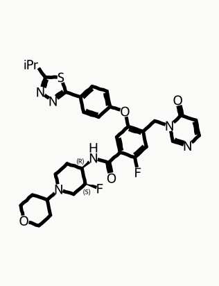 CC(C)c1nnc(-c2ccc(Oc3cc(C(=O)N[C@@H]4CCN(C5CCOCC5)C[C@@H]4F)c(F)cc3Cn3cnccc3=O)cc2)s1